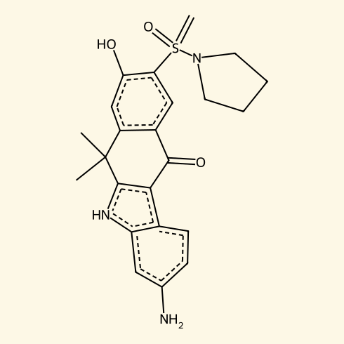 C=S(=O)(c1cc2c(cc1O)C(C)(C)c1[nH]c3cc(N)ccc3c1C2=O)N1CCCC1